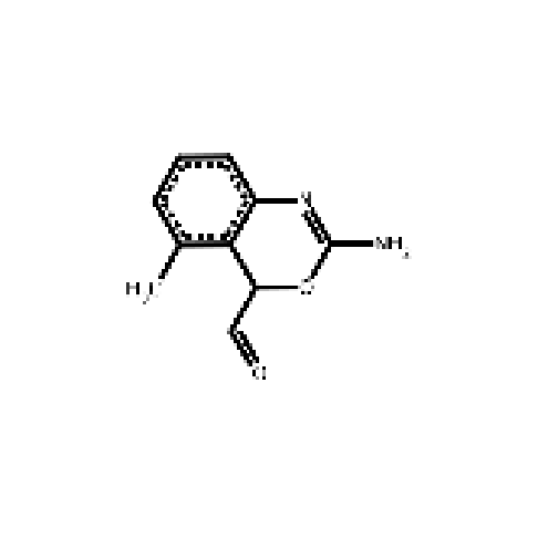 Cc1cccc2c1C(C=O)OC(N)=N2